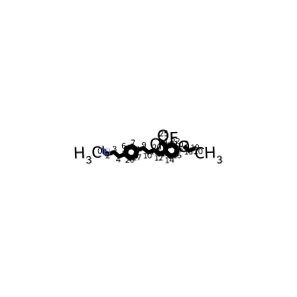 C/C=C/CCc1ccc(CCc2cc3ccc(OCCC)c(F)c3c(=O)o2)cc1